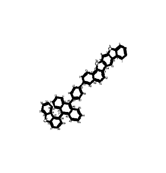 c1ccc2c(c1)oc1cc3oc4c5ccc(-c6ccc(-c7c8ccccc8c(-c8cccc9oc%10ccccc%10c89)c8ccccc78)cc6)cc5ccc4c3cc12